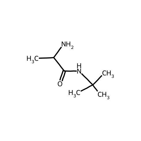 CC(N)C(=O)NC(C)(C)C